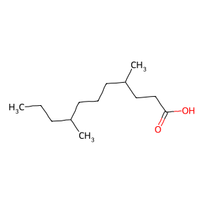 CCCC(C)CCCC(C)CCC(=O)O